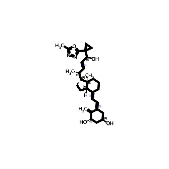 C=C1/C(=C\C=C2/CCC[C@]3(C)[C@@H]([C@H](C)/C=C/[C@H](O)C4(c5nnc(C)o5)CC4)CC[C@@H]23)C[C@@H](O)C[C@@H]1O